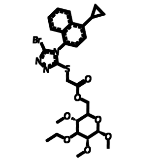 CCOC1[C@H](OC)C(COC(=O)CSc2nnc(Br)n2-c2ccc(C3CC3)c3ccccc23)O[C@@H](OC)[C@H]1OC